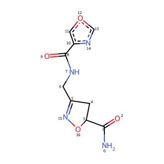 NC(=O)C1CC(CNC(=O)c2cocn2)=NO1